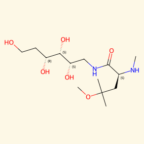 CN[C@@H](CC(C)(C)OC)C(=O)NC[C@H](O)[C@@H](O)[C@H](O)CCO